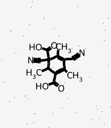 CC1=C(C(=O)O)C(C)C(C#N)(C(=O)O)C(C)=C1C#N